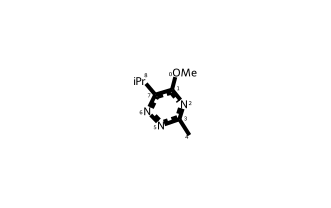 COc1nc(C)nnc1C(C)C